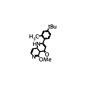 COC1=NC=CC2NC(c3ccc(C(C)(C)C)cc3C)=CC(=O)C12